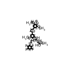 COc1cc(C2CCC(c3cc(OC)c(OC)c(OC)c3)O2)cc(NC(=O)NCC(O)OC)c1OCCSc1c(F)c(F)cc(F)c1F